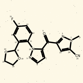 Cn1nc(C(=O)c2ccnn2-c2ccc(F)cc2C2OCCO2)cc1C#N